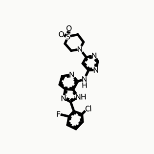 O=S1(=O)CCN(c2cc(Nc3nccc4nc(-c5c(F)cccc5Cl)[nH]c34)ncn2)CC1